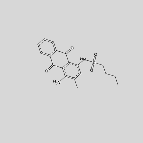 CCCCS(=O)(=O)Nc1cc(C)c(N)c2c1C(=O)c1ccccc1C2=O